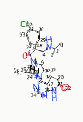 CC(C)NC[C@@H](C(=O)N1CCN(c2ncnc3c2[C@H](C)CC(=O)N3)[C@@H]2[C@H](C)[C@@H]21)c1ccc(Cl)cc1